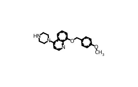 COc1ccc(COc2cccc3c(N4CCNCC4)ccnc23)cc1